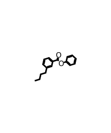 CCCCc1cccc(C(=O)Oc2ccccc2)c1